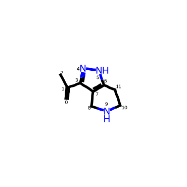 C=C(C)c1n[nH]c2c1CNCC2